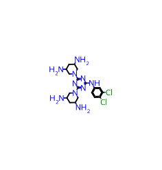 NC1CC(N)CN(c2nc(Nc3ccc(Cl)c(Cl)c3)nc(N3CC(N)CC(N)C3)n2)C1